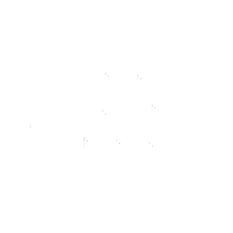 CC(C)Nc1ncnc2c(N3CC[S+]([O-])CC3)nc(NCCO)nc12